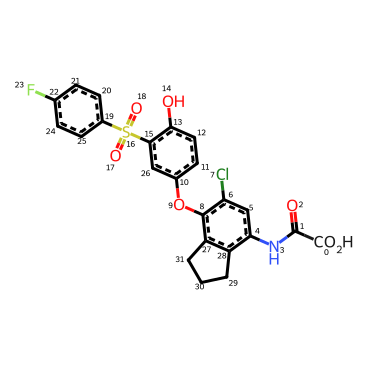 O=C(O)C(=O)Nc1cc(Cl)c(Oc2ccc(O)c(S(=O)(=O)c3ccc(F)cc3)c2)c2c1CCC2